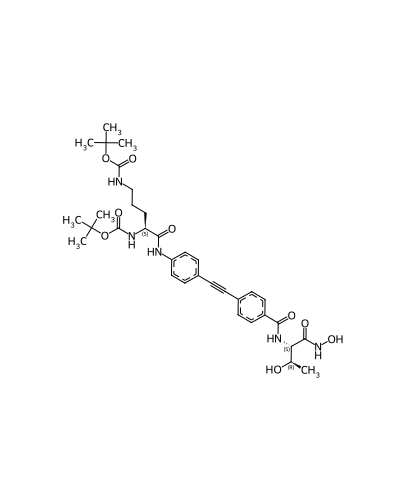 C[C@@H](O)[C@H](NC(=O)c1ccc(C#Cc2ccc(NC(=O)[C@H](CCCNC(=O)OC(C)(C)C)NC(=O)OC(C)(C)C)cc2)cc1)C(=O)NO